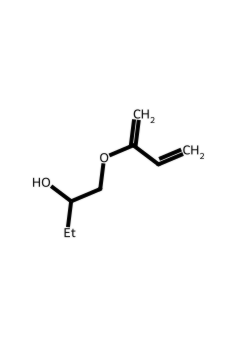 C=CC(=C)OCC(O)CC